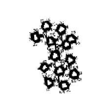 O=P12c3cc4c(cc3Sc3cc(N(c5ccccc5)c5ccccc5)cc(c31)N(c1ccccc1)c1c2ccc2ccccc12)N(c1ccccc1)c1cc(N(c2ccccc2)c2ccccc2)cc2c1B4c1ccccc1N2c1ccccc1